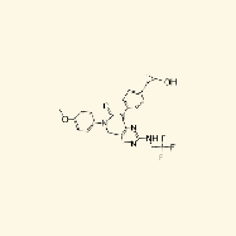 COc1ccc(N2Cc3cnc(NCC(F)(F)F)nc3N(c3ccc(C4CC4O)cc3)C2=O)cc1